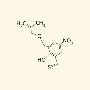 C=C(C)COCc1cc([N+](=O)[O-])cc(C=S)c1O